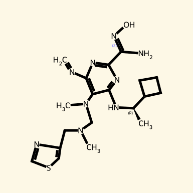 C=Nc1nc(/C(N)=N/O)nc(N[C@H](C)C2CCC2)c1N(C)CN(C)Cc1cscn1